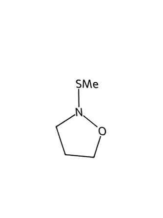 CSN1CCCO1